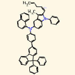 C=CC/C=C\c1c(C)c2cc(N(c3ccc(-c4ccc5c(c4)-c4ccccc4C5(c4ccccc4)c4ccccc4)cc3)c3cccc4ccccc34)ccc2n1-c1ccccc1